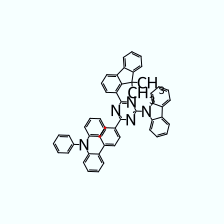 CC1(C)c2ccccc2-c2cccc(-c3nc(-c4ccc(-c5ccccc5N(c5ccccc5)c5ccccc5)cc4)nc(-n4c5ccccc5c5ccccc54)n3)c21